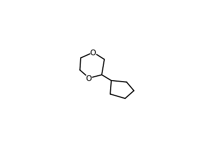 C1CCC(C2COCCO2)C1